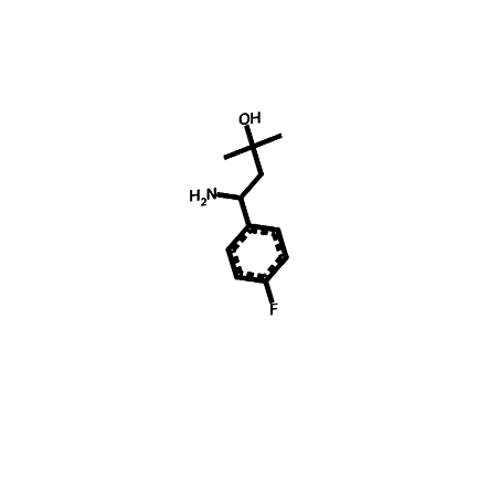 CC(C)(O)CC(N)c1ccc(F)cc1